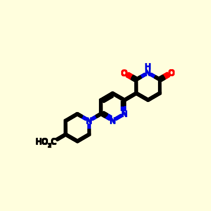 O=C1CCC(c2ccc(N3CCC(C(=O)O)CC3)nn2)C(=O)N1